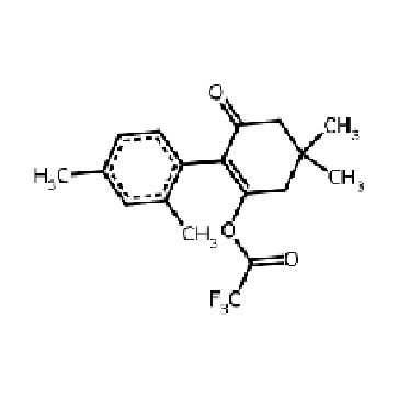 Cc1ccc(C2=C(OC(=O)C(F)(F)F)CC(C)(C)CC2=O)c(C)c1